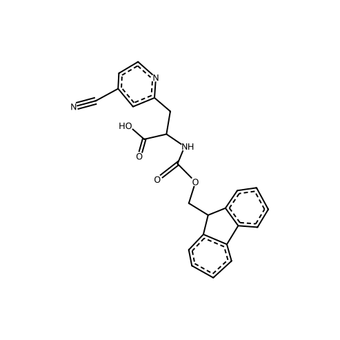 N#Cc1ccnc(CC(NC(=O)OCC2c3ccccc3-c3ccccc32)C(=O)O)c1